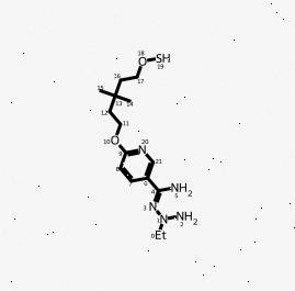 CCN(N)/N=C(\N)c1ccc(OCCC(C)(C)CCOS)nc1